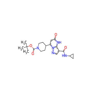 CC(C)(C)OC(=O)N1CCC(c2cc(=O)[nH]c3c(C(=O)NC4CC4)cnn23)CC1